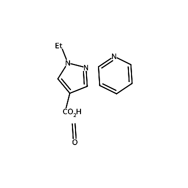 C=O.CCn1cc(C(=O)O)cn1.c1ccncc1